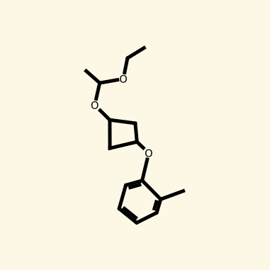 CCOC(C)OC1CC(Oc2ccccc2C)C1